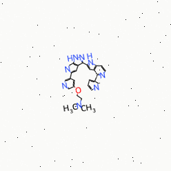 CN(C)CCOc1cncc(-c2cc3c(-c4cc5c(-c6cccnc6)nccc5[nH]4)n[nH]c3cn2)c1